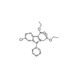 CCOC(=O)Cn1c(C(=O)OCC)c2ccc(Cl)cc2c1-c1ccccc1